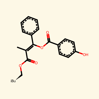 CC[C@H](C)COC(=O)C(C)=C(OC(=O)c1ccc(O)cc1)c1ccccc1